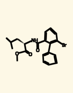 COC(=O)[C@H](CC(C)C)NC(=O)c1cccc(Br)c1-c1ccccc1